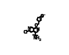 CC(C)(N)c1cnc(OCC2CC[S+]([O-])C2)c2cnc(Cl)cc12